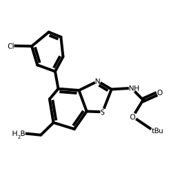 BCc1cc(-c2cccc(Cl)c2)c2nc(NC(=O)OC(C)(C)C)sc2c1